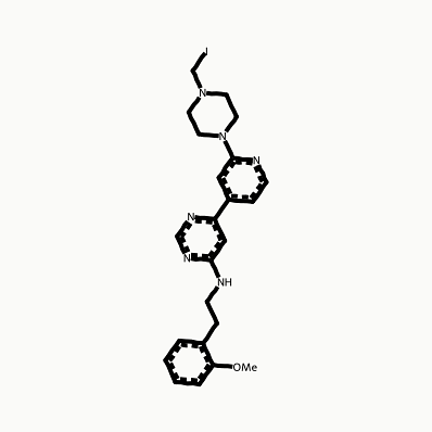 COc1ccccc1CCNc1cc(-c2ccnc(N3CCN(CI)CC3)c2)ncn1